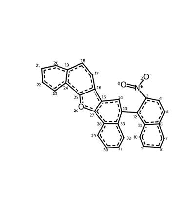 O=[N+]([O-])c1ccc2ccccc2c1-c1cc2c3ccc4ccccc4c3oc2c2ccccc12